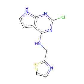 Clc1nc(NCc2nccs2)c2cc[nH]c2n1